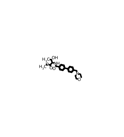 COC(=O)C(NC(=O)c1ccc(-c2ccc(CN3CCOCC3)cc2)cc1)C(C)O